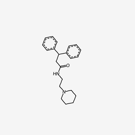 O=C(CC(c1ccccc1)c1ccccc1)NCCN1CCCCC1